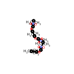 Cc1ccc(C(C)(C)c2ccc(Oc3ccc4c(c3)C(=O)N(CCc3c(C)cc(C)c(N5C(=O)c6ccc(Oc7ccc(C(C)(C)c8ccc(Oc9ccc%10c(c9)C(=O)N(c9c(C)cccc9C)C%10=O)cc8)cc7)cc6C5=O)c3C)C4=O)cc2)cc1